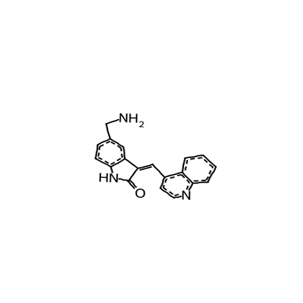 NCc1ccc2c(c1)C(=Cc1ccnc3ccccc13)C(=O)N2